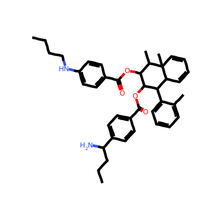 CCCCNc1ccc(C(=O)OC2C(OC(=O)c3ccc(C(N)CCC)cc3)C(c3ccccc3C)C3C=CC=CC3(C)C2C)cc1